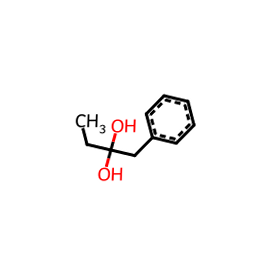 CCC(O)(O)Cc1ccccc1